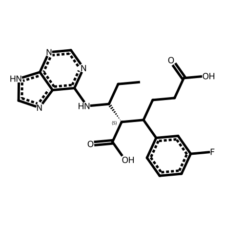 CCC(Nc1ncnc2[nH]cnc12)[C@@H](C(=O)O)C(CCC(=O)O)c1cccc(F)c1